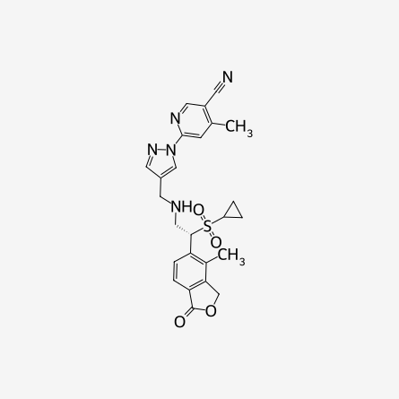 Cc1cc(-n2cc(CNC[C@@H](c3ccc4c(c3C)COC4=O)S(=O)(=O)C3CC3)cn2)ncc1C#N